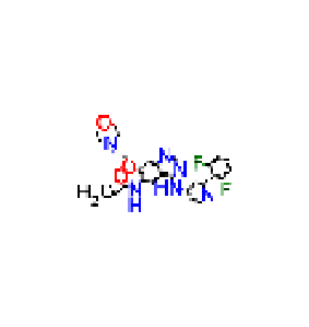 C=CC(=O)Nc1cc2c(Nc3ccnc(-c4c(F)cccc4F)c3)ncnc2cc1OCCN1CCOCC1